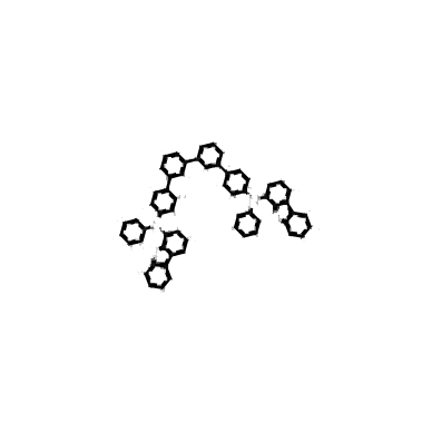 c1ccc(N(c2ccc(-c3cccc(-c4cccc(-c5ccc(N(c6ccccc6)c6cccc7c6oc6ccccc67)cc5)c4)c3)cc2)c2cccc3c2oc2ccccc23)cc1